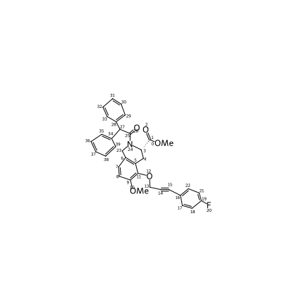 COC(=O)[C@@H]1Cc2c(ccc(OC)c2OCC#Cc2ccc(F)cc2)CN1C(=O)C(c1ccccc1)c1ccccc1